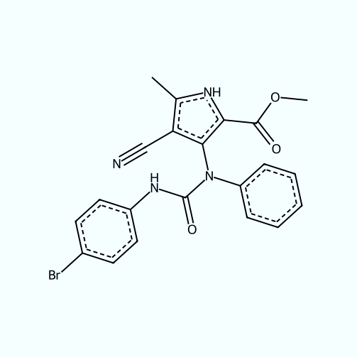 COC(=O)c1[nH]c(C)c(C#N)c1N(C(=O)Nc1ccc(Br)cc1)c1ccccc1